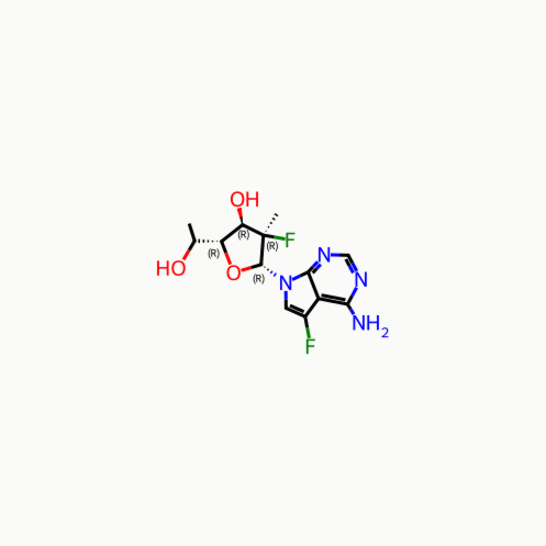 CC(O)[C@H]1O[C@@H](n2cc(F)c3c(N)ncnc32)[C@](C)(F)[C@@H]1O